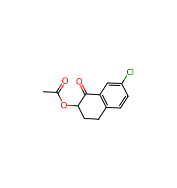 CC(=O)OC1CCc2ccc(Cl)cc2C1=O